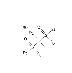 Br.CCC(C)(S(=O)(=O)CC)S(=O)(=O)CC